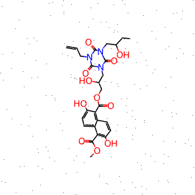 C=CCn1c(=O)n(CC(O)CC)c(=O)n(CC(O)COC(=O)c2c(O)ccc3c(C(=O)OC)c(O)ccc23)c1=O